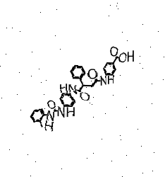 Cc1ccccc1NC(=O)Nc1ccc(NC(=O)C(CC(=O)Nc2ccc(C(=O)O)cc2)c2ccccc2)cc1